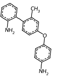 Cc1cc(Oc2ccc(N)cc2)ccc1-c1ccccc1N